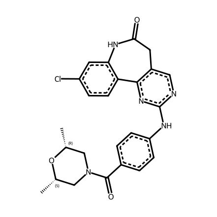 C[C@@H]1CN(C(=O)c2ccc(Nc3ncc4c(n3)-c3ccc(Cl)cc3NC(=O)C4)cc2)C[C@H](C)O1